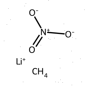 C.O=[N+]([O-])[O-].[Li+]